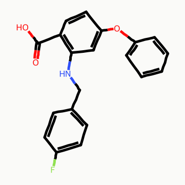 O=C(O)c1ccc(Oc2ccccc2)cc1NCc1ccc(F)cc1